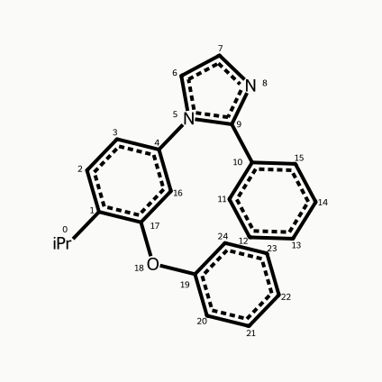 CC(C)c1ccc(-n2ccnc2-c2ccccc2)cc1Oc1ccccc1